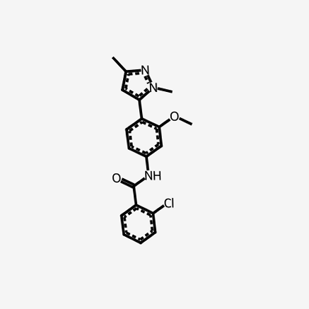 COc1cc(NC(=O)c2ccccc2Cl)ccc1-c1cc(C)nn1C